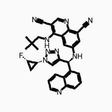 CC(C)(C)CNc1c(C#N)cnc2c(C#N)cc(N[C@H](c3cn([C@@H]4C[C@@H]4F)nn3)c3cccc4ncccc34)cc12